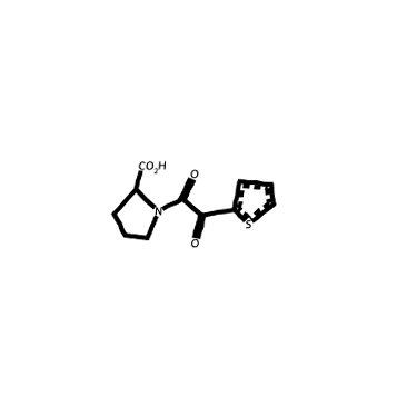 O=C(C(=O)N1CCCC1C(=O)O)c1cccs1